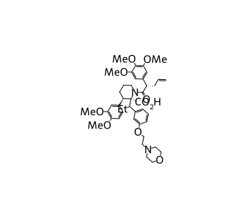 C=CC[C@H](C(=O)N1CCC[C@H](c2ccc(OC)c(OC)c2)[C@]1(C(=O)O)C(CC)c1cccc(OCCN2CCOCC2)c1)c1cc(OC)c(OC)c(OC)c1